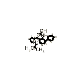 CC(C)CN1CCCC1Cc1cccc(-c2ccccc2)c1NC(=O)O